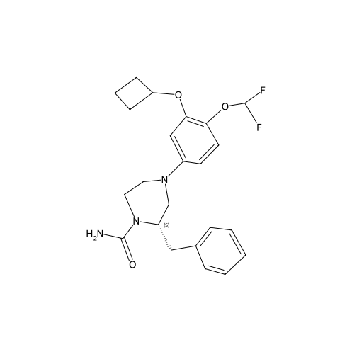 NC(=O)N1CCN(c2ccc(OC(F)F)c(OC3CCC3)c2)C[C@@H]1Cc1ccccc1